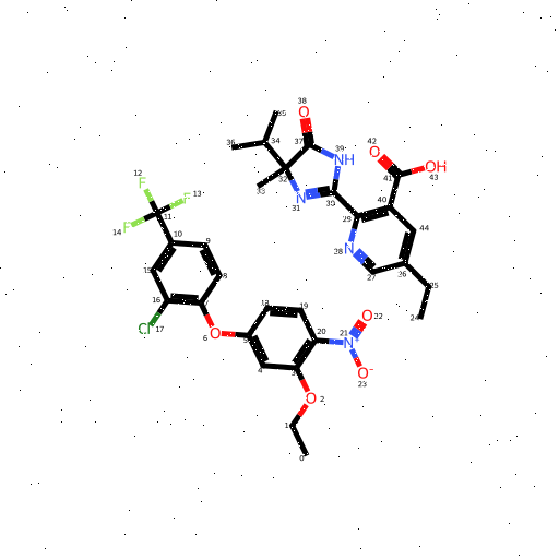 CCOc1cc(Oc2ccc(C(F)(F)F)cc2Cl)ccc1[N+](=O)[O-].CCc1cnc(C2=NC(C)(C(C)C)C(=O)N2)c(C(=O)O)c1